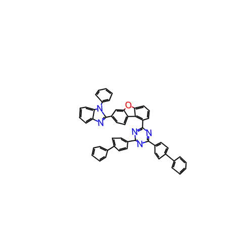 c1ccc(-c2ccc(-c3nc(-c4ccc(-c5ccccc5)cc4)nc(-c4cccc5oc6cc(-c7nc8ccccc8n7-c7ccccc7)ccc6c45)n3)cc2)cc1